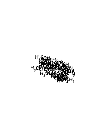 CC[C@H](NC(=O)[C@H]([C@H](O)[C@H](C)CCN(C)CC1COCCO1)N(C)C(=O)[C@H](C(C)C)N(C)C(=O)[C@H](CC(C)C)N(C)C(=O)CCC(C)C)C(=O)N(C)[C@H](C)C(=O)N(C)[C@@H](CC(C)C)C(=O)N[C@H](C(=O)N(C)[C@@H](CC(C)C)C(=O)N[C@H](C)C(=O)NC(=O)NC)C(C)C